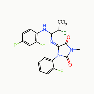 CN1C(=O)C(=NC(Nc2ccc(F)cc2F)C(Cl)C(Cl)(Cl)Cl)N(c2ccccc2F)C1=O